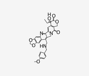 CC[C@@]1(O)C(=O)OCc2c1cc1n(c2=O)Cc2c-1nc1cc3c(cc1c2CNCc1ccc(OC)cc1)OCO3